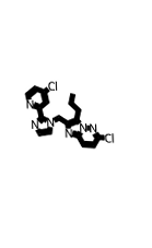 CCCc1c(Cn2ccnc2-c2cc(Cl)ccn2)nc2ccc(Cl)nn12